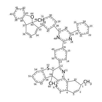 CC1C=Cc2ccc3c(c2C1)N=C(c1ccc(-c2nc(-c4ccccc4)cc(-c4cccc(C5=CC=CC6c7ccccc7OC56C)c4)n2)cc1)C1Sc2ccccc2C31C